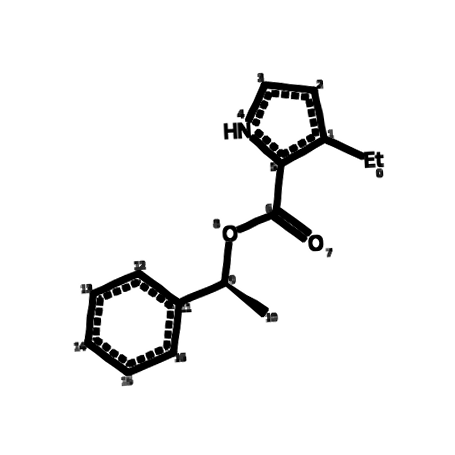 CCc1cc[nH]c1C(=O)O[C@@H](C)c1ccccc1